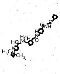 Cc1ccc(C)n1-c1ccc([C@H](O)CN[C@H](C)Cc2cccc(CC(=O)NCc3ccc(C(=O)NCCOCc4ccccc4)cc3)c2)cn1